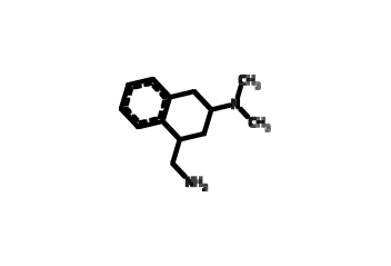 CN(C)C1Cc2ccccc2C(CN)C1